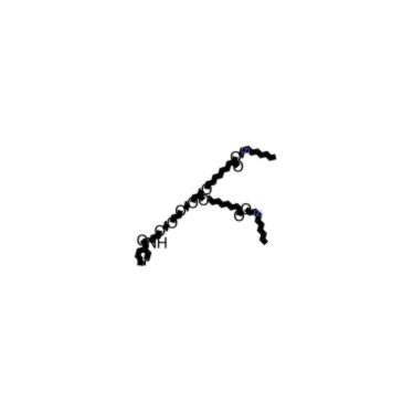 CCCCCC/C=C\COC(=O)CCCCCCCOCC(COCCOCCOCCOCCNC(=O)C1CCN(C)CC1)OCCCCCCCC(=O)OC/C=C\CCCCCC